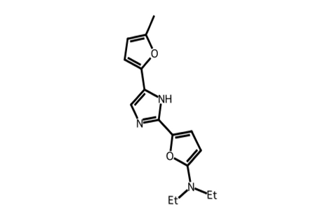 CCN(CC)c1ccc(-c2ncc(-c3ccc(C)o3)[nH]2)o1